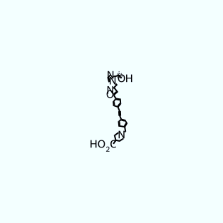 C[C@H](O)c1nccn1Cc1cc(-c2ccc(C#Cc3ccc(CN4CCC(C(=O)O)CC4)cc3)cc2)on1